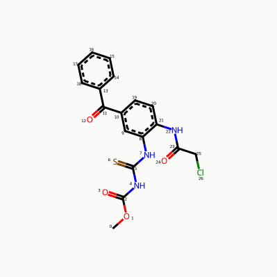 COC(=O)NC(=S)Nc1cc(C(=O)c2ccccc2)ccc1NC(=O)CCl